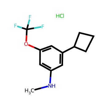 CNc1cc(OC(F)(F)F)cc(C2CCC2)c1.Cl